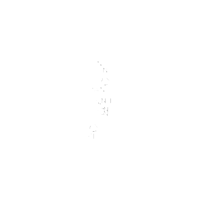 CN1CCN(Cc2ccc(N3C[C@H](NC(=O)c4nnc(CCc5ccc(Cl)cc5)s4)CC3=O)cc2)CC1